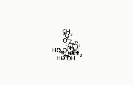 CCOC(=O)CC1CN([C@@H]2O[C@H](CO)[C@@H](O)[C@H](O)[C@H]2O)c2c(C)cccc21